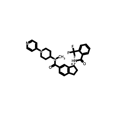 CN(C(=O)c1ccc2c(c1)[C@H](NC(=O)c1ccccc1C(F)(F)F)CC2)C1CCN(c2ccncc2)CC1